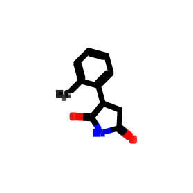 Cc1ccccc1C1CC(=O)NC1=O